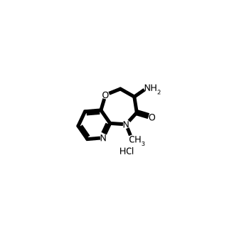 CN1C(=O)C(N)COc2cccnc21.Cl